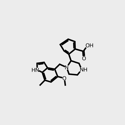 COc1cc(C)c2[nH]ccc2c1CN1CCNCC1c1ccccc1C(=O)O